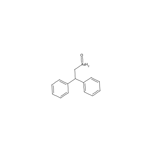 O=[AsH2]CC(c1ccccc1)c1ccccc1